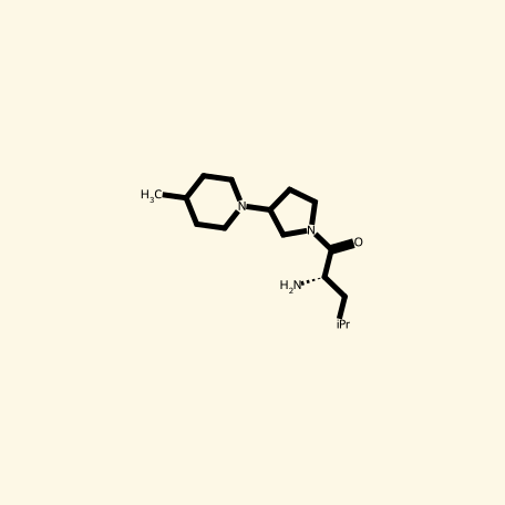 CC(C)C[C@H](N)C(=O)N1CCC(N2CCC(C)CC2)C1